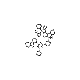 c1ccc(-c2nc(-c3cccc(-c4nc5ccccc5c5c6c(ccc45)C4(c5ccccc5Oc5ccccc54)c4ccccc4-6)c3)nc(-c3cccc4c3sc3ccccc34)n2)cc1